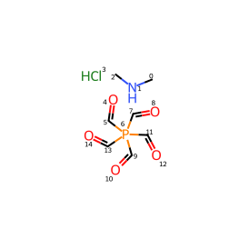 CNC.Cl.O=CP(C=O)(C=O)(C=O)C=O